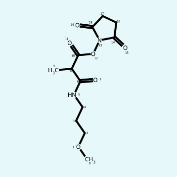 COCCCNC(=O)C(C)C(=O)ON1C(=O)CCC1=O